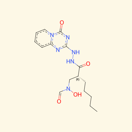 CCCCC[C@H](CN(O)C=O)C(=O)NNc1nc(=O)n2ccccc2n1